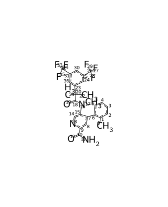 Cc1ccccc1-c1cc(C(N)=O)ncc1N(C)C(=O)C(C)(C)c1cc(C(F)(F)F)cc(C(F)(F)F)c1